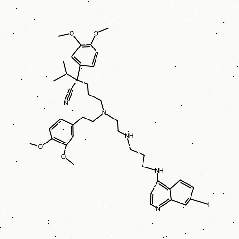 COc1ccc(CCN(CCCC(C#N)(c2ccc(OC)c(OC)c2)C(C)C)CCNCCCNc2ccnc3cc(I)ccc23)cc1OC